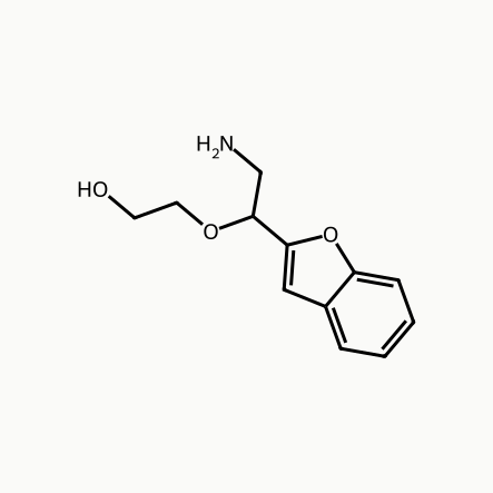 NCC(OCCO)c1cc2ccccc2o1